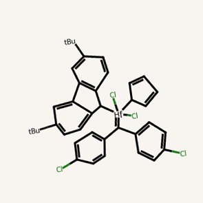 CC(C)(C)c1ccc2c(c1)-c1cc(C(C)(C)C)ccc1[CH]2[Hf]([Cl])([Cl])(=[C](c1ccc(Cl)cc1)c1ccc(Cl)cc1)[CH]1C=CC=C1